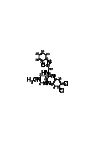 CN1CCC2(CC1)Nc1cc(Cl)c(Cl)cc1N=C2NCc1nc2ccccc2o1